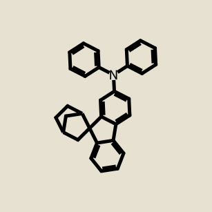 c1ccc(N(c2ccccc2)c2ccc3c(c2)C2(CC4CCC2C4)c2ccccc2-3)cc1